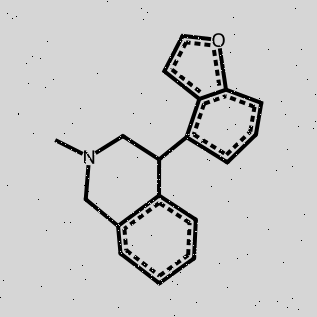 CN1Cc2ccccc2C(c2cccc3occc23)C1